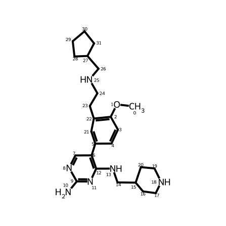 COc1ccc(-c2cnc(N)nc2NCC2CCNCC2)cc1CCNCC1CCCC1